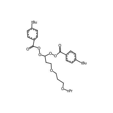 [CH2]CCOCCCOCC[C](OOC(=O)c1ccc(C(C)(C)C)cc1)OOC(=O)c1ccc(C(C)(C)C)cc1